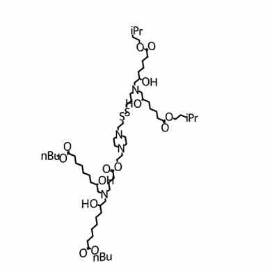 CCCCOC(=O)CCCCCCC(O)CN(CCCC(=O)OCCN1CCN(CCSSCCCN(CC(O)CCCCC(=O)OCCC(C)C)CC(O)CCCCC(=O)OCCC(C)C)CC1)CC(O)CCCCCCC(=O)OCCCC